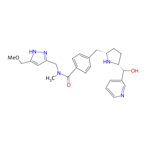 COCc1cc(CN(C)C(=O)c2ccc(C[C@@H]3CC[C@H](C(O)c4cccnc4)N3)cc2)n[nH]1